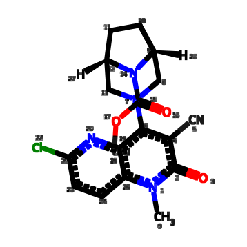 Cn1c(=O)c(C#N)c(N2C[C@H]3CC[C@@H](C2)N3C(=O)OC(C)(C)C)c2nc(Cl)ccc21